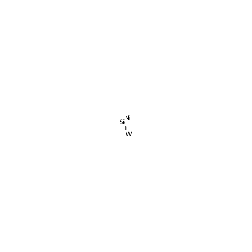 [Ni].[Si].[Ti].[W]